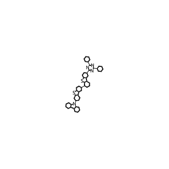 c1ccc(-c2nc(-c3ccccc3)nc(-c3ccc4sc5c(-c6ccc7sc8cc(-n9c%10ccccc%10c%10ccccc%109)ccc8c7c6)cccc5c4c3)n2)cc1